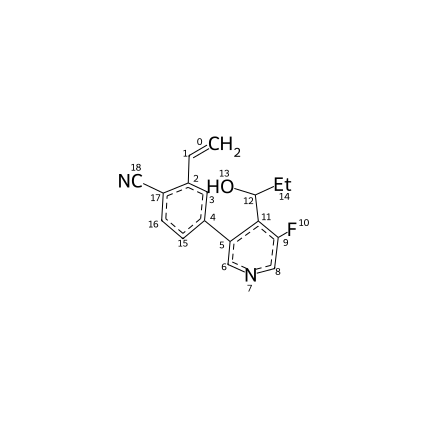 C=Cc1cc(-c2cncc(F)c2C(O)CC)ccc1C#N